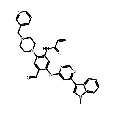 C=CC(=O)Nc1cc(Nc2cc(-c3cn(C)c4ccccc34)ncn2)c(C=O)cc1N1CCN(Cc2cccnc2)CC1